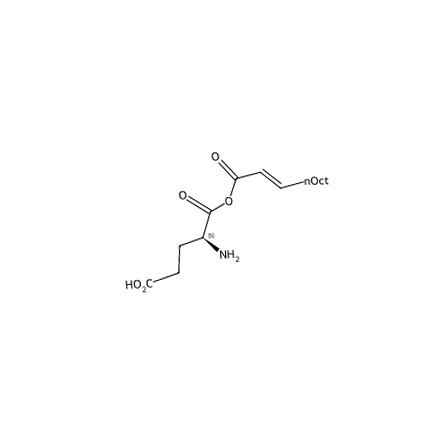 CCCCCCCCC=CC(=O)OC(=O)[C@@H](N)CCC(=O)O